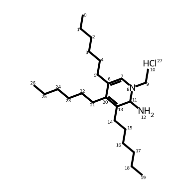 CCCCCCC1=CN(CC)C(N)C(CCCCCC)=C1CCCCCC.Cl